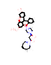 C[C@H]1C#CCCN(C(=O)CC(=O)N2CCN(C(=O)c3ccccc3-c3c4ccc(=O)cc-4oc4cc(O)ccc34)CC2)C[C@@H]1C